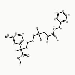 COC(=O)C(C)(CCCCC(C)(C)CN(C)C(=O)OCc1ccccc1)c1cccc(Br)c1